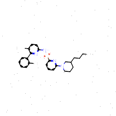 Cc1ccccc1-c1nc(NS(=O)(=O)c2cccc(N3CCCC(CCCC(=O)O)C3)n2)ccc1C(F)(F)F